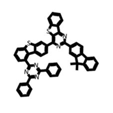 CC1(C)c2ccccc2-c2ccc(-c3nc(-c4ccc5c(c4)sc4cccc(-c6nc(-c7ccccc7)nc(-c7ccccc7)n6)c45)c4sc5ccccc5c4n3)cc21